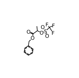 CC(OS(=O)(=O)C(F)(F)F)C(=O)OCc1ccccc1